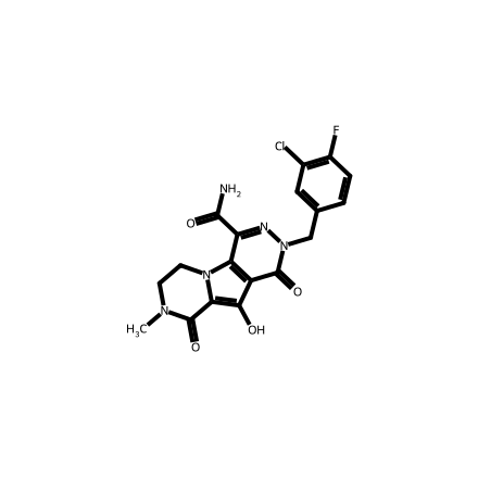 CN1CCn2c(c(O)c3c(=O)n(Cc4ccc(F)c(Cl)c4)nc(C(N)=O)c32)C1=O